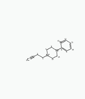 [C-]#[N+]CCN1CCN(c2ccccn2)CC1